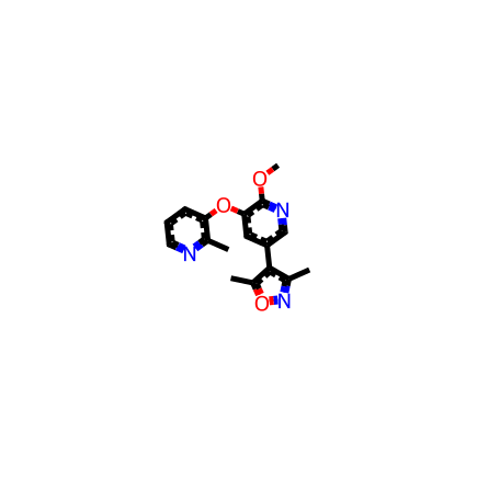 COc1ncc(-c2c(C)noc2C)cc1Oc1cccnc1C